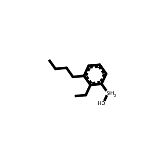 CCCCc1cccc([SiH2]O)c1CC